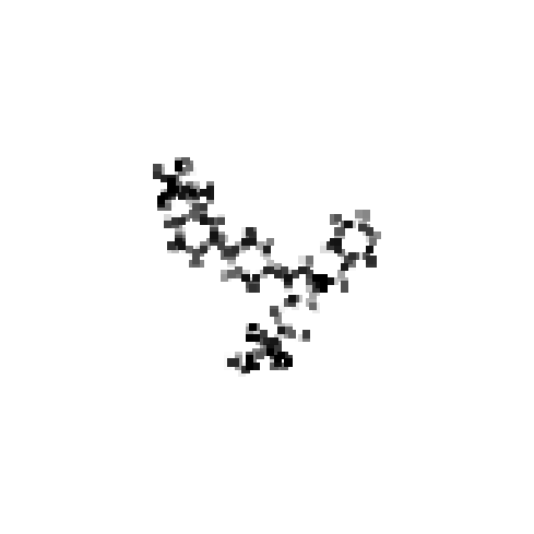 CC(CC1CN(Cc2ccccc2)CC1c1ccc(-c2cccc(NS(C)(=O)=O)c2)cc1)S(N)(=O)=O